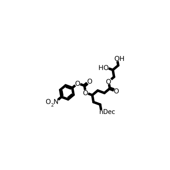 CCCCCCCCCCCCC(CCC(=O)OCC(O)CO)OC(=O)Oc1ccc([N+](=O)[O-])cc1